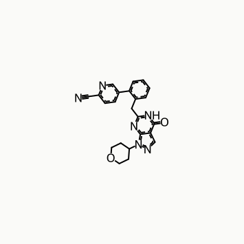 N#Cc1ccc(-c2ccccc2Cc2nc3c(cnn3C3CCOCC3)c(=O)[nH]2)cn1